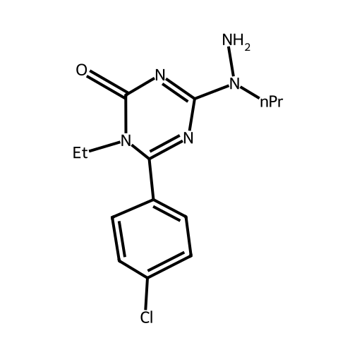 CCCN(N)c1nc(-c2ccc(Cl)cc2)n(CC)c(=O)n1